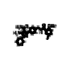 COc1ccc(F)cc1C(=O)NCc1ccc(-c2nn(C3CCCOC3)c(N)c2C(N)=O)cc1